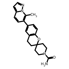 Cc1c(-c2ccc3c(c2)CCC2(CCN(C(N)=O)CC2)O3)ccc2ccnn12